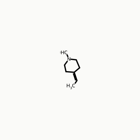 [CH]N1CCC(=CC)CC1